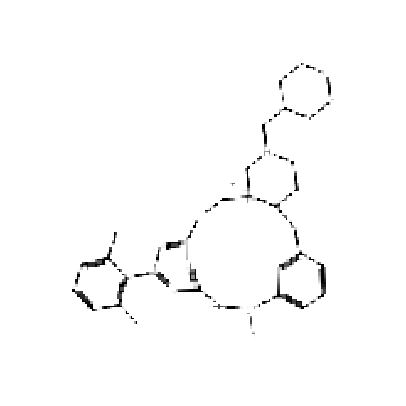 Cc1cccc(C)c1-c1cc2nc(n1)N[S+]([O-])c1cccc(c1)CC1CCN(CC3CCOCC3)C[C@@H]1CO2